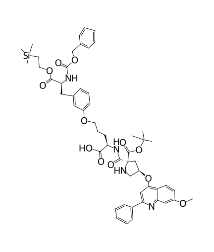 COc1ccc2c(O[C@H]3CN[C@@](C(=O)N[C@H](CCCOc4cccc(C[C@H](NC(=O)OCc5ccccc5)C(=O)OCC[Si](C)(C)C)c4)C(=O)O)(C(=O)OC(C)(C)C)C3)cc(-c3ccccc3)nc2c1